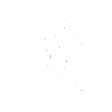 CC(C)OC(C)(CCO)CCCO.CC(C)OC(C)C.CC(C)OC(C)C